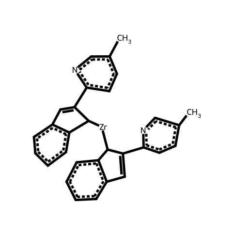 Cc1ccc(C2=Cc3ccccc3[CH]2[Zr][CH]2C(c3ccc(C)cn3)=Cc3ccccc32)nc1